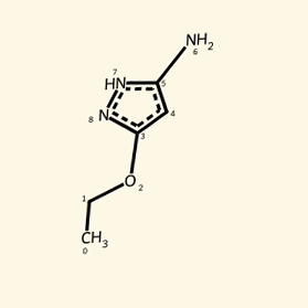 CCOc1cc(N)[nH]n1